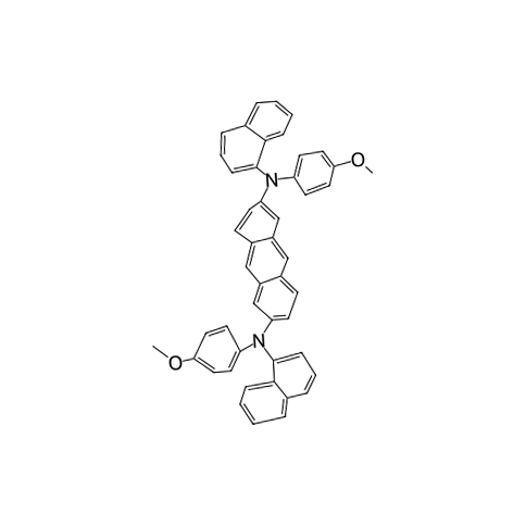 COc1ccc(N(c2ccc3cc4cc(N(c5ccc(OC)cc5)c5cccc6ccccc56)ccc4cc3c2)c2cccc3ccccc23)cc1